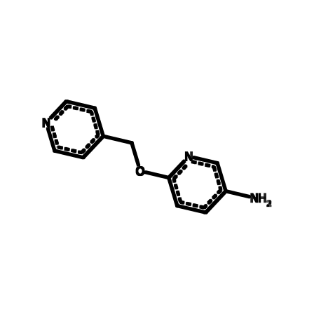 Nc1ccc(OCc2ccncc2)nc1